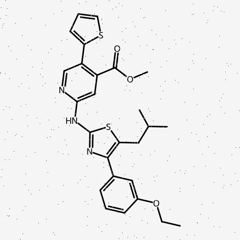 CCOc1cccc(-c2nc(Nc3cc(C(=O)OC)c(-c4cccs4)cn3)sc2CC(C)C)c1